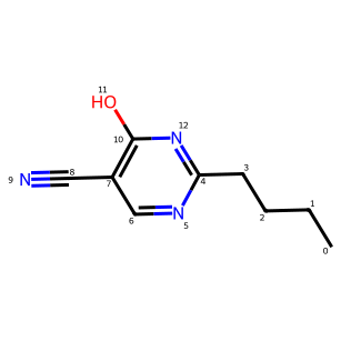 CCCCc1ncc(C#N)c(O)n1